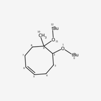 CC(C)(C)OC1CC/C=C\CCC1(C)OC(C)(C)C